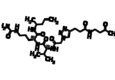 C=CCC(C)NC(=O)[C@H](CCCNC(N)=O)NC(=O)[C@@H](NC(=O)Cn1cc(CCC(=O)NCCC(C)=O)nn1)C(C)C